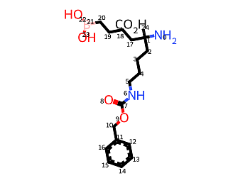 NC(CCCCNC(=O)OCc1ccccc1)(CCCCB(O)O)C(=O)O